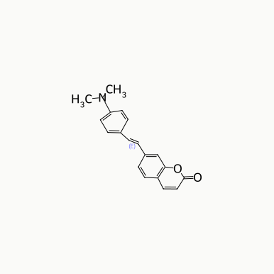 CN(C)c1ccc(/C=C/c2ccc3ccc(=O)oc3c2)cc1